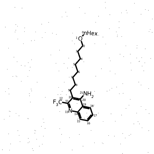 CCCCCCOCCCCCCCCc1c(C(F)(F)F)nc2ccccc2c1N